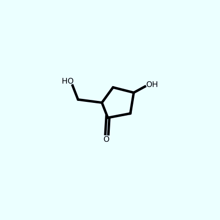 O=C1CC(O)CC1CO